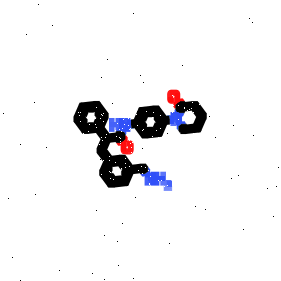 NCc1cccc(CC(C(=O)Nc2ccc(N3CCCCC3=O)cc2)c2ccccc2)c1